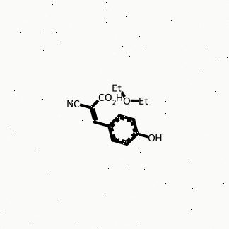 CCOCC.N#CC(=Cc1ccc(O)cc1)C(=O)O